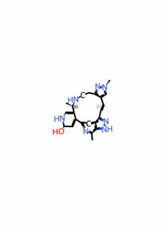 Cc1nc2cc3c(n[nH]c13)/C=C/c1cn(C)nc1CCN[C@H](C)C1=CNC(O)C=C12